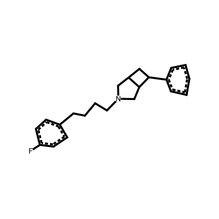 Fc1ccc(CCCCN2CC3CC(c4ccccc4)C3C2)cc1